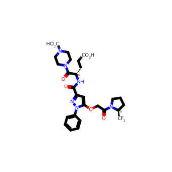 O=C(O)CC[C@H](NC(=O)c1cc(OCC(=O)N2CCC[C@H]2C(F)(F)F)n(-c2ccccc2)n1)C(=O)N1CCN(C(=O)O)CC1